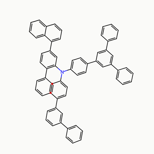 c1ccc(-c2cccc(-c3ccc(N(c4ccc(-c5cc(-c6ccccc6)cc(-c6ccccc6)c5)cc4)c4cc(-c5cccc6ccccc56)ccc4-c4ccccc4)cc3)c2)cc1